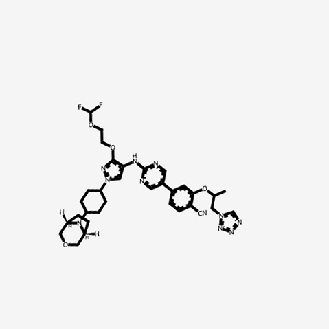 CC(Cn1cnnn1)Oc1cc(-c2cnc(Nc3cn(C4CCC(N5[C@@H]6CC[C@H]5COC6)CC4)nc3OCCOC(F)F)nc2)ccc1C#N